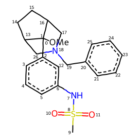 COC1(c2cccc(NS(C)(=O)=O)c2)C2CCC1CN(Cc1ccccc1)C2